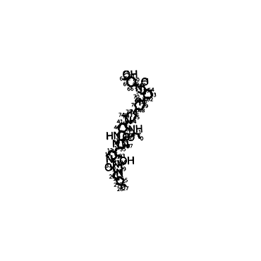 C=CC(=O)Nc1cc(Nc2nc(-c3ccnc(N4CCn5c(cc6c5CC(C)(C)C6)C4=O)c3CO)cn(C)c2=O)ccc1N1CCN(C2CCN(c3cccc4c3CN(C3CCC(C)(O)CC3)C4=O)[C@@H](C)C2)C[C@@H]1C